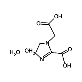 O.O.O=C(O)CN1CCN=C1C(=O)O